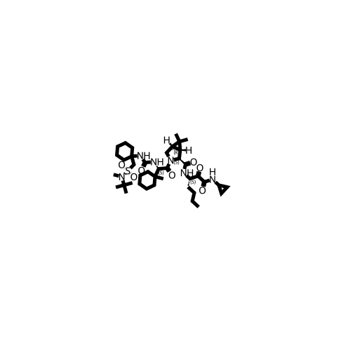 CCCC[C@H](NC(=O)[C@@H]1[C@@H]2[C@H](CN1C(=O)[C@@H](NC(=O)NC1(CS(=O)(=O)N(C)C(C)(C)C)CCCCC1)C1(C)CCCCC1)C2(C)C)C(=O)C(=O)NC1CC1